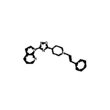 C(=CN1CCC(c2nc(-n3ccc4cccnc43)no2)CC1)c1ccccc1